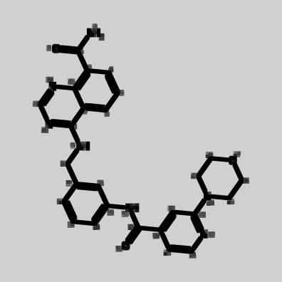 NC(=O)c1cccc2c(NCc3cccc(NC(=O)c4ccnc(N5CCOCC5)c4)c3)ncnc12